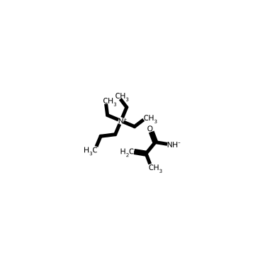 C=C(C)C([NH-])=O.CCC[N+](CC)(CC)CC